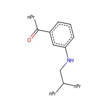 CCCC(=O)c1cccc(NCC(CCC)CCC)c1